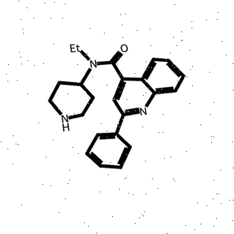 CCN(C(=O)c1cc(-c2ccccc2)nc2ccccc12)C1CCNCC1